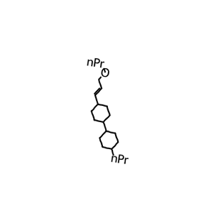 CCCOCC=CC1CCC(C2CCC(CCC)CC2)CC1